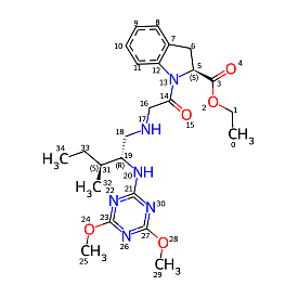 CCOC(=O)[C@@H]1Cc2ccccc2N1C(=O)CNC[C@H](Nc1nc(OC)nc(OC)n1)[C@@H](C)CC